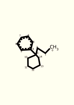 CCCC1(c2ccccc2)CCCCC1